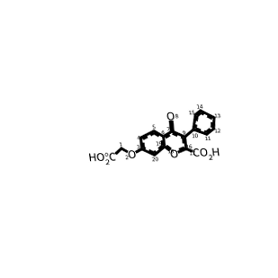 O=C(O)COc1ccc2c(=O)c(-c3ccccc3)c(C(=O)O)oc2c1